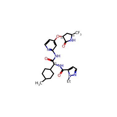 CCn1nccc1C(=O)N[C@H](C(=O)Nc1cc(O[C@H]2C[C@@H](C(F)(F)F)NC2=O)ccn1)C1CCC(C)CC1